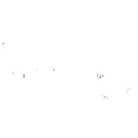 COC(CC(=O)NC1CCC(CCN2CCN(c3noc4cc(F)c(Cl)cc34)CC2)CC1)OC